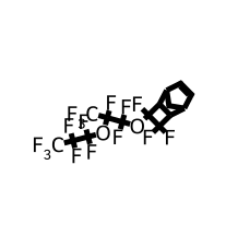 FC(F)(F)C(F)(F)C(F)(F)OC(F)(C(F)(F)F)C(F)(F)OC1(F)C2C3C=CC(C3)C2C1(F)F